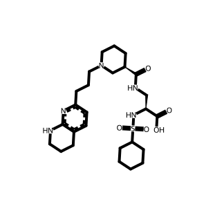 O=C(NC[C@H](NS(=O)(=O)C1CCCCC1)C(=O)O)[C@@H]1CCCN(CCCc2ccc3c(n2)NCCC3)C1